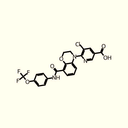 O=C(O)c1cnc(N2CCOc3c(C(=O)Nc4ccc(OC(F)(F)F)cc4)cccc32)c(Cl)c1